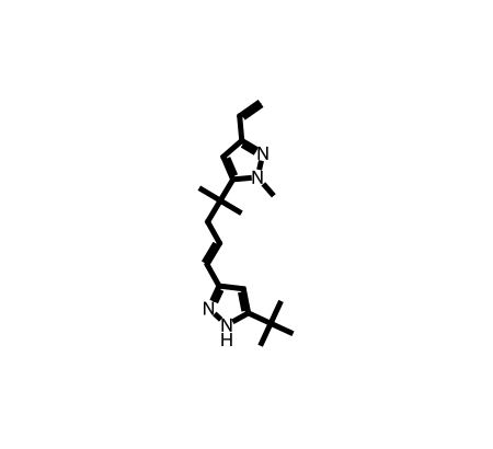 C=Cc1cc(C(C)(C)C/C=C/c2cc(C(C)(C)C)[nH]n2)n(C)n1